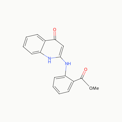 COC(=O)c1ccccc1Nc1cc(=O)c2ccccc2[nH]1